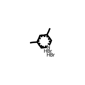 Br.Br.Cc1cncc(C)c1